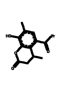 Cc1cc(C(=O)C(C)C)c2c(c1O)OC(=O)CC2C